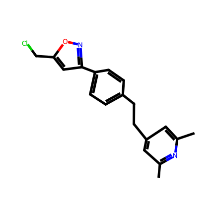 Cc1cc(CCc2ccc(-c3cc(CCl)on3)cc2)cc(C)n1